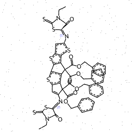 CCN1C(=O)/C(=N/C2=Cc3sc4c(c3C2(C(=O)OCc2ccccc2)C(=O)OCc2ccccc2)C(C(=O)OCc2ccccc2)(C(=O)OCc2ccccc2)c2c-4sc3cc(/N=C4\SC(=S)N(CC)C4=O)sc23)SC1=S